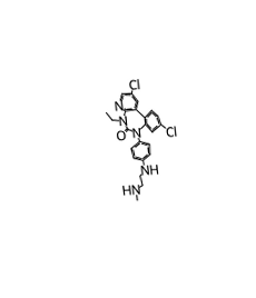 CCN1C(=O)N(c2ccc(NCCNC)cc2)c2cc(Cl)ccc2-c2cc(Cl)cnc21